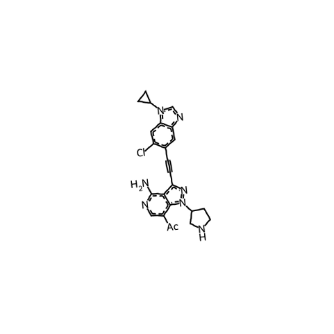 CC(=O)c1cnc(N)c2c(C#Cc3cc4ncn(C5CC5)c4cc3Cl)nn(C3CCNC3)c12